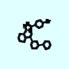 Brc1ccc(-c2nnc3c4ccccc4c(-c4cccc(-c5ccccc5)c4)cn23)cc1